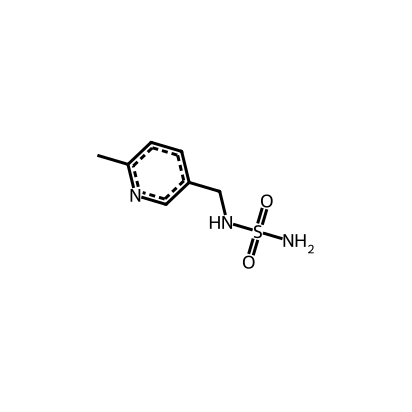 Cc1ccc(CNS(N)(=O)=O)cn1